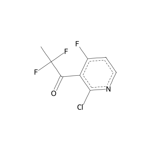 CC(F)(F)C(=O)c1c(F)ccnc1Cl